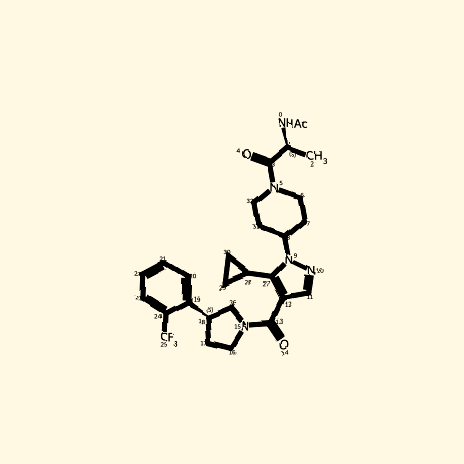 CC(=O)N[C@@H](C)C(=O)N1CCC(n2ncc(C(=O)N3CC[C@@H](c4ccccc4C(F)(F)F)C3)c2C2CC2)CC1